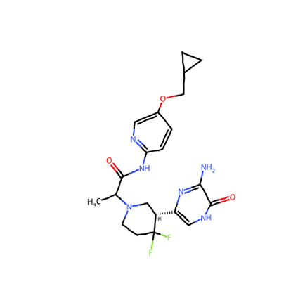 CC(C(=O)Nc1ccc(OCC2CC2)cn1)N1CCC(F)(F)[C@@H](c2c[nH]c(=O)c(N)n2)C1